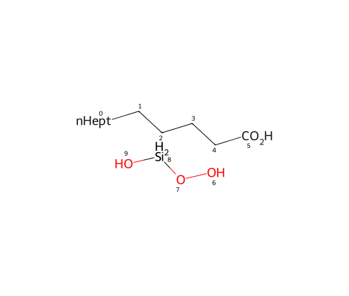 CCCCCCCCCCCC(=O)O.OO[SiH2]O